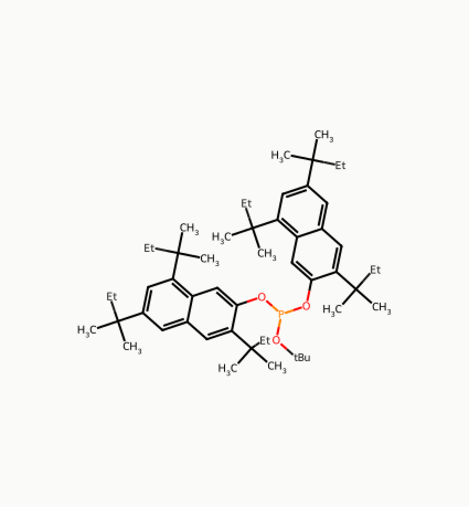 CCC(C)(C)c1cc(C(C)(C)CC)c2cc(OP(Oc3cc4c(C(C)(C)CC)cc(C(C)(C)CC)cc4cc3C(C)(C)CC)OC(C)(C)C)c(C(C)(C)CC)cc2c1